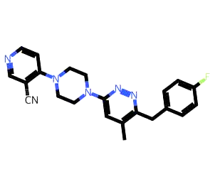 Cc1cc(N2CCN(c3ccncc3C#N)CC2)nnc1Cc1ccc(F)cc1